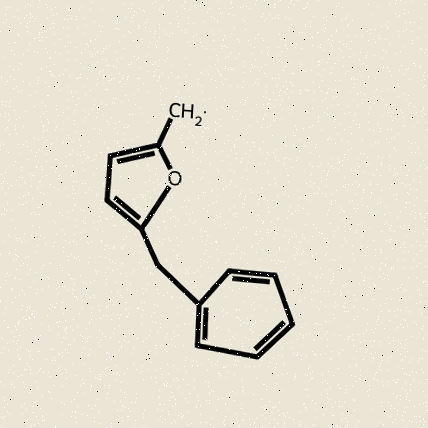 [CH2]c1ccc(Cc2ccccc2)o1